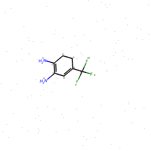 NC1=C(N)CCC(C(F)(F)F)=C1